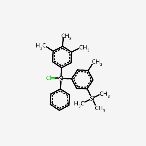 Cc1cc([Si](C)(C)C)cc([Si](Cl)(c2ccccc2)c2cc(C)c(C)c(C)c2)c1